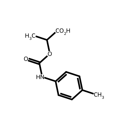 Cc1ccc(NC(=O)OC(C)C(=O)O)cc1